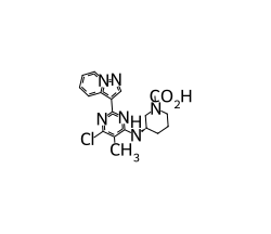 Cc1c(Cl)nc(-c2cnn3ccccc23)nc1N[C@@H]1CCCN(C(=O)O)C1